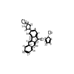 C1=CC[C]([Zr+2][CH]2c3ccccc3-c3cc4ccccc4cc32)=C1.C1CCCC1.[Cl-].[Cl-]